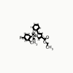 CCOC(=O)c1cc(-c2ccccc2)n(S(=O)(=O)c2ccc(F)cc2C)c1